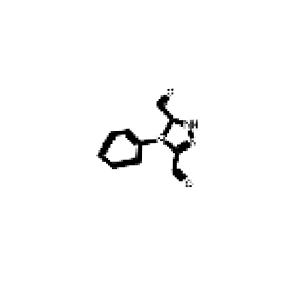 O=CC1=NNC(C=O)N1c1ccccc1